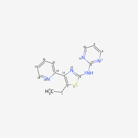 CCc1sc(Nc2ncccn2)nc1-c1ccccn1